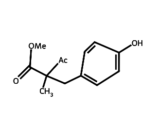 COC(=O)C(C)(Cc1ccc(O)cc1)C(C)=O